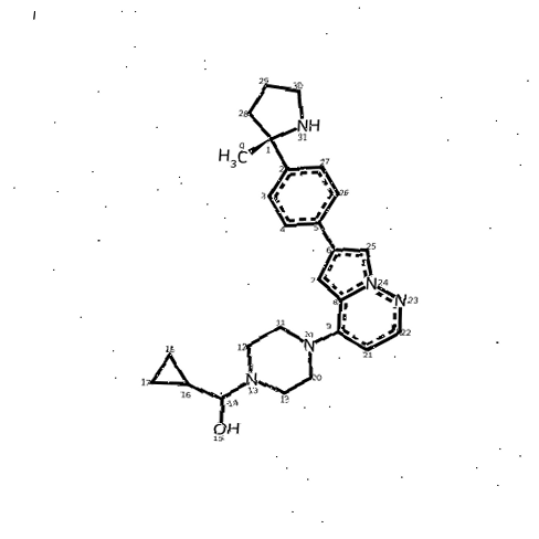 C[C@@]1(c2ccc(-c3cc4c(N5CCN(C(O)C6CC6)CC5)ccnn4c3)cc2)CCCN1